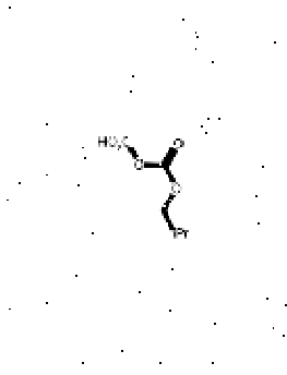 CC(C)COC(=O)OC(=O)O